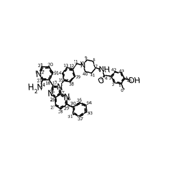 Cc1cc(C(=O)NC2CCN(Cc3ccc(-n4c(-c5cccnc5N)nc5ccc(-c6ccccc6)nc54)cc3)CC2)ccc1O